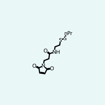 CCCSSCCNC(=O)CCN1C(=O)C=CC1=O